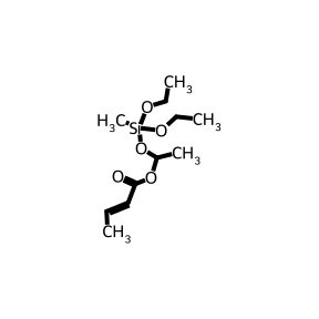 CC=CC(=O)OC(C)O[Si](C)(OCC)OCC